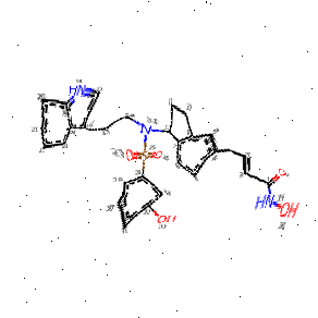 O=C(C=Cc1ccc2c(c1)CCC2N(CCc1c[nH]c2ccccc12)S(=O)(=O)c1cccc(O)c1)NO